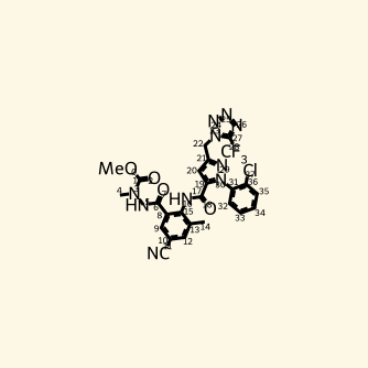 COC(=O)N(C)NC(=O)c1cc(C#N)cc(C)c1NC(=O)c1cc(Cn2nnnc2C(F)(F)F)nn1-c1ccccc1Cl